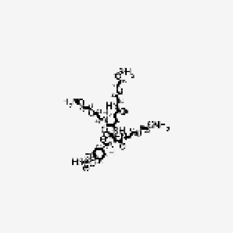 CP(=O)(S)O[C@H]1CC[C@@H](C(=O)NC(C(=O)NCCOCCON)C(=O)NC(CCC(=O)NCCOCCON)C(=O)NCCOCCON)CC1